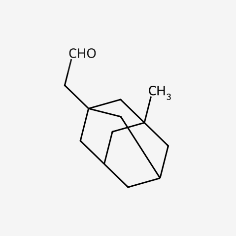 CC12CC3CC(C1)CC(CC=O)(C3)C2